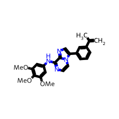 C=C(C)c1cccc(-c2cnc3c(Nc4cc(OC)c(OC)c(OC)c4)nccn23)c1